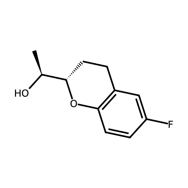 C[C@H](O)[C@@H]1CCc2cc(F)ccc2O1